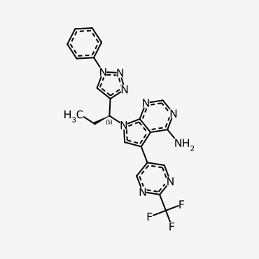 CC[C@@H](c1cn(-c2ccccc2)nn1)n1cc(-c2cnc(C(F)(F)F)nc2)c2c(N)ncnc21